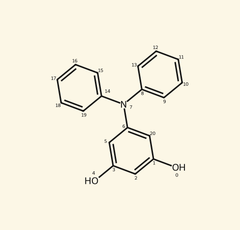 Oc1cc(O)cc(N(c2ccccc2)c2ccccc2)c1